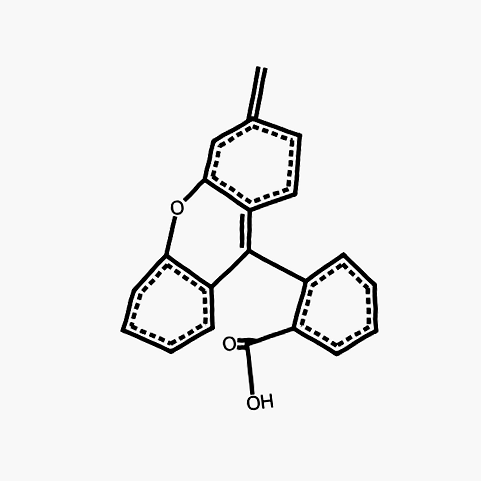 C=c1ccc2c(c1)Oc1ccccc1C=2c1ccccc1C(=O)O